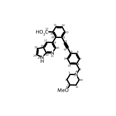 COC1CCN(Cc2ccc(C#Cc3cccc(C(=O)O)c3-c3cnc4[nH]ccc4c3)cc2)CC1